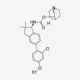 CCOc1ccc(-c2ccc3c(c2)CC(C)(C)[C@H]3NC(=O)O[C@H]2CN3CCC2CC3)c(Cl)c1